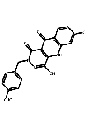 O=Cc1ccc(Cn2nc(O)c3[nH]c4cc(Cl)ccc4c(=O)c3c2=O)cc1